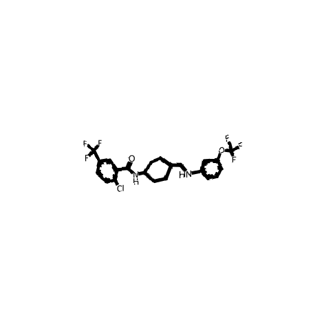 O=C(NC1CCC(CNc2cccc(OC(F)(F)F)c2)CC1)c1cc(C(F)(F)F)ccc1Cl